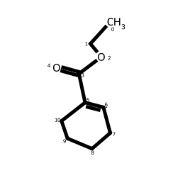 CCOC(=O)C1=[C]CCCC1